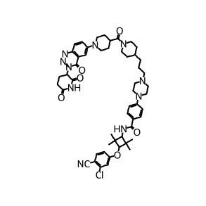 CC1(C)C(NC(=O)c2ccc(N3CCN(CCCC4CCN(C(=O)C5CCN(c6ccc7nnn(C8CCC(=O)NC8=O)c(=O)c7c6)CC5)CC4)CC3)cc2)C(C)(C)C1Oc1ccc(C#N)c(Cl)c1